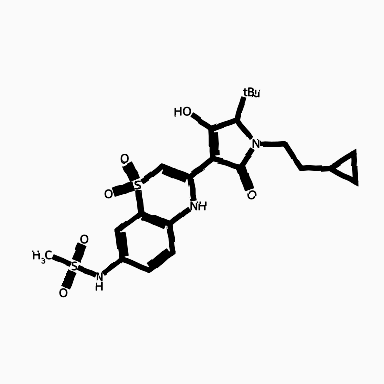 CC(C)(C)C1C(O)=C(C2=CS(=O)(=O)c3cc(NS(C)(=O)=O)ccc3N2)C(=O)N1CCC1CC1